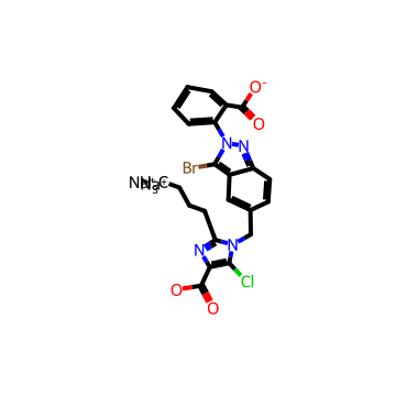 CCCCc1nc(C(=O)[O-])c(Cl)n1Cc1ccc2nn(-c3ccccc3C(=O)[O-])c(Br)c2c1.[Na+].[Na+]